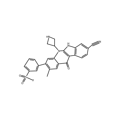 Cc1cc2c(=O)c3c4ccc(C#N)cc4[nH]c3n(C3CNC3)c2cc1-c1cccc(S(=O)(=O)F)c1